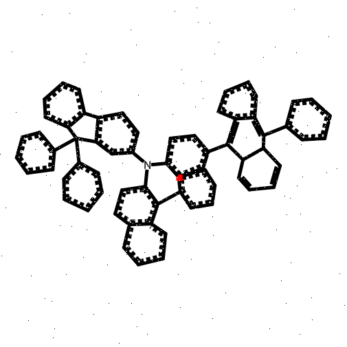 C1=CC2C(c3ccccc3)=c3ccccc3=C(c3ccc(N(c4ccc5c(c4)C(c4ccccc4)(c4ccccc4)c4ccccc4-5)c4ccc5ccccc5c4-c4ccccc4)cc3)C2C=C1